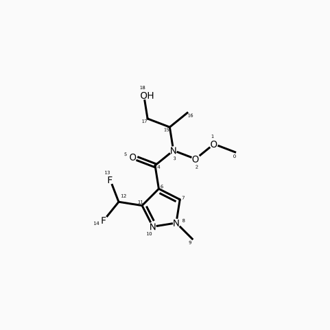 COON(C(=O)c1cn(C)nc1C(F)F)C(C)CO